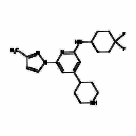 Cc1ccn(-c2cc(C3CCNCC3)cc(NC3CCC(F)(F)CC3)n2)n1